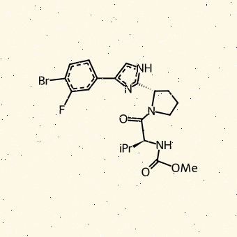 COC(=O)N[C@H](C(=O)N1CCC[C@H]1c1nc(-c2ccc(Br)c(F)c2)c[nH]1)C(C)C